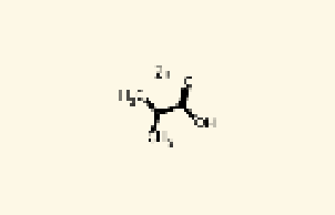 CC(C)C(=O)O.[Zn]